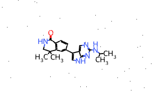 CC(C)Nc1ncc2c(-c3ccc4c(c3)C(C)(C)CNC4=O)c[nH]c2n1